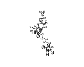 CC(C)(C)C(NS(=O)(=O)CCCCCN1CC(=O)NC1=O)c1ccc(F)c(OCC2CC2)c1